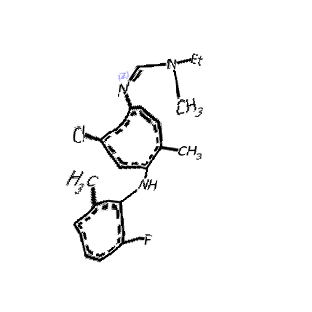 CCN(C)/C=N\c1cc(C)c(Nc2c(C)cccc2F)cc1Cl